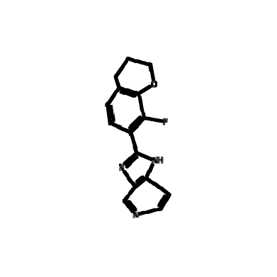 Fc1c(-c2nc3cnccc3[nH]2)ccc2c1OCCC2